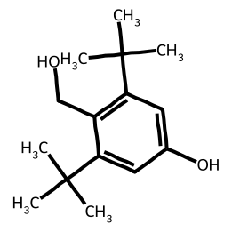 CC(C)(C)c1cc(O)cc(C(C)(C)C)c1CO